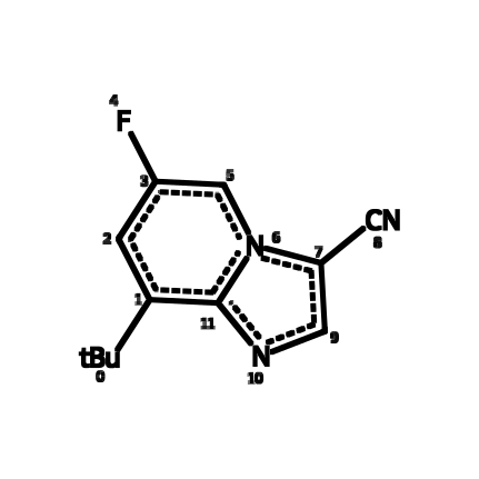 CC(C)(C)c1cc(F)cn2c(C#N)cnc12